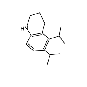 CC(C)c1ccc2c(c1C(C)C)CCCN2